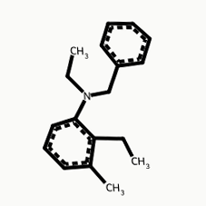 CCc1c(C)cccc1N(CC)Cc1ccccc1